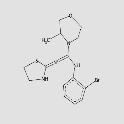 CC1COCCN1C(=[N+]=C1NCCS1)Nc1ccccc1Br